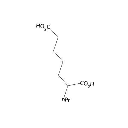 CCCC(CCCCC(=O)O)C(=O)O